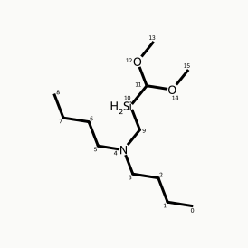 CCCCN(CCCC)C[SiH2]C(OC)OC